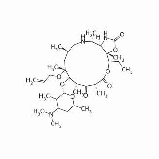 C=CCO[C@]1(C)C[C@@H](C)CN[C@H](C)[C@H]2NC(=O)O[C@]2(C)[C@@H](CC)OC(=O)[C@H](C)C(=O)[C@H](C)C1O[C@@H]1OC(C)CC(N(C)C)C1C